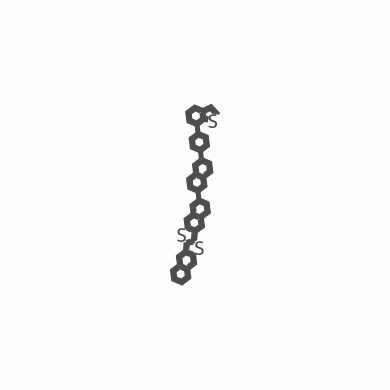 c1ccc2cc3c(cc2c1)sc1c2cc4ccc(-c5ccc6cc(-c7ccc(-c8cccc9ccsc89)cc7)ccc6c5)cc4cc2sc31